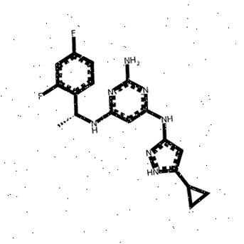 C[C@@H](Nc1cc(Nc2cc(C3CC3)[nH]n2)nc(N)n1)c1ccc(F)cc1F